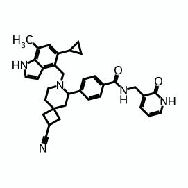 Cc1cc(C2CC2)c(CN2CCC3(CC(C#N)C3)CC2c2ccc(C(=O)NCc3ccc[nH]c3=O)cc2)c2cc[nH]c12